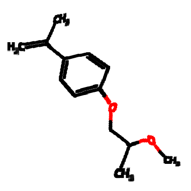 C=C(C)c1ccc(OCC(C)OC)cc1